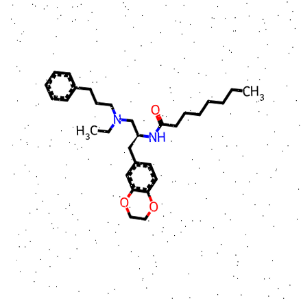 CCCCCCCC(=O)N[C@@H](Cc1ccc2c(c1)OCCO2)CN(CC)CCCc1ccccc1